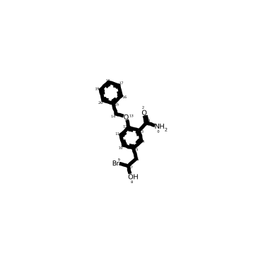 NC(=O)c1cc(CC(O)Br)ccc1OCc1ccccc1